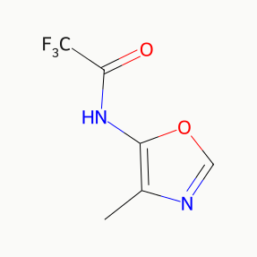 Cc1ncoc1NC(=O)C(F)(F)F